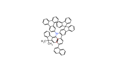 CC1(C)c2ccccc2-c2c(N(c3ccc4c5ccccc5c5ccccc5c4c3)c3cc4c(cc3-c3ccc(-c5cccc6ccccc56)cc3)-c3ccccc3C43c4ccccc4-c4ccccc43)cccc21